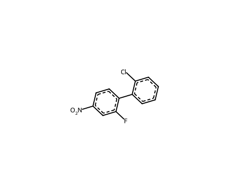 O=[N+]([O-])c1ccc(-c2ccccc2Cl)c(F)c1